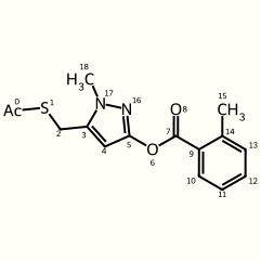 CC(=O)SCc1cc(OC(=O)c2ccccc2C)nn1C